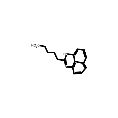 O=C(O)CCCCC1=Nc2cccc3cccc(c23)N1